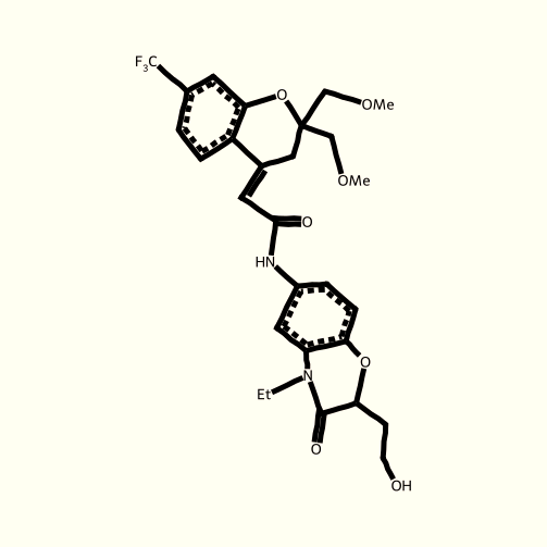 CCN1C(=O)C(CCO)Oc2ccc(NC(=O)/C=C3\CC(COC)(COC)Oc4cc(C(F)(F)F)ccc43)cc21